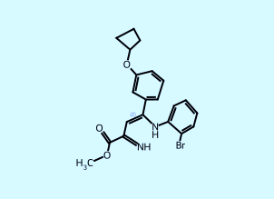 COC(=O)C(=N)/C=C(\Nc1ccccc1Br)c1cccc(OC2CCC2)c1